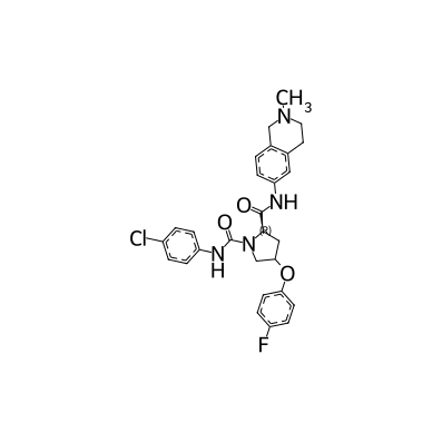 CN1CCc2cc(NC(=O)[C@H]3CC(Oc4ccc(F)cc4)CN3C(=O)Nc3ccc(Cl)cc3)ccc2C1